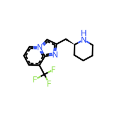 FC(F)(F)c1cccn2cc(C[C@@H]3CCCCN3)nc12